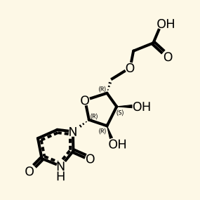 O=C(O)COC[C@H]1O[C@@H](n2ccc(=O)[nH]c2=O)[C@H](O)[C@@H]1O